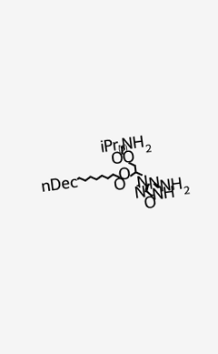 CCCCCCCCCCCCCCCCCC(=O)OCC(CCOC(=O)[C@@H](N)C(C)C)Cn1cnc2c(=O)[nH]c(N)nc21